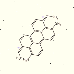 C/C=c1/ccc2c3cc/c(=C/C)c4c(N)ccc(c5ccc(N)c1c52)c43